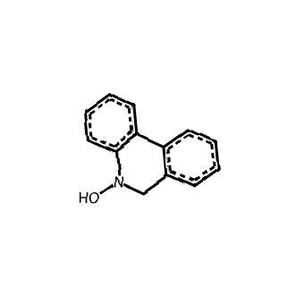 ON1Cc2ccccc2-c2ccccc21